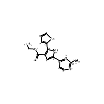 CCOC(=O)c1cc(-c2ccnc(N)n2)[nH]c1-c1cccs1